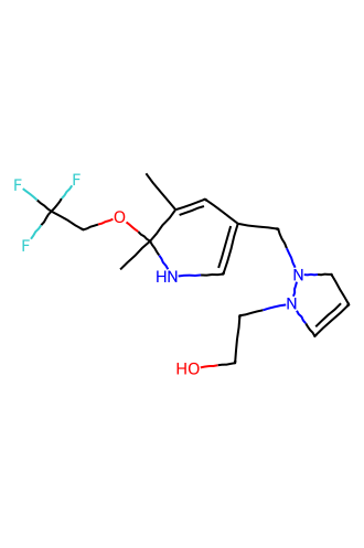 CC1=CC(CN2CC=CN2CCO)=CNC1(C)OCC(F)(F)F